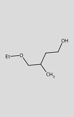 CCOCC(C)CCO